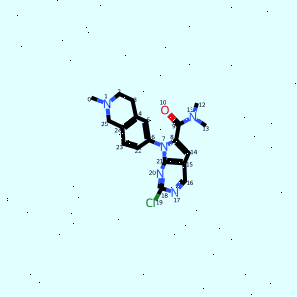 CN1CCc2cc(-n3c(C(=O)N(C)C)cc4cnc(Cl)nc43)ccc2C1